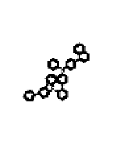 c1ccc(-c2ccc3c(c2)c2ccccc2n3-c2ccccc2-c2ccc(N(c3ccccc3)c3ccc(-c4cccc5ccccc45)cc3)cc2)cc1